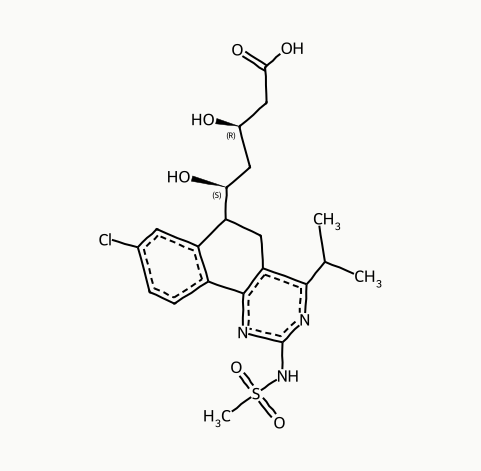 CC(C)c1nc(NS(C)(=O)=O)nc2c1CC([C@@H](O)C[C@@H](O)CC(=O)O)c1cc(Cl)ccc1-2